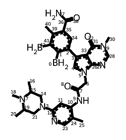 Bc1c(-c2cn(CC(=O)Nc3cc(N4CC(C)N(C)C(C)C4)ncc3C)c3ncn(C)c(=O)c23)cc(C(N)=O)c(C)c1B